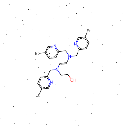 CCc1ccc(CN(/C=C/N(Cc2ccc(CC)cn2)Cc2ccc(CC)cn2)CCO)nc1